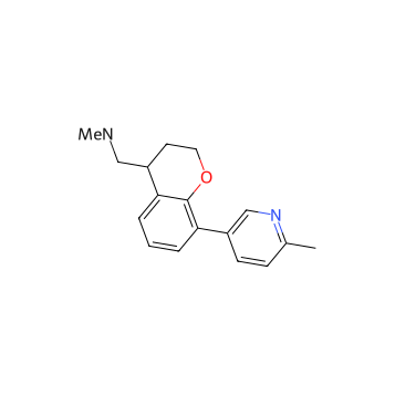 CNCC1CCOc2c(-c3ccc(C)nc3)cccc21